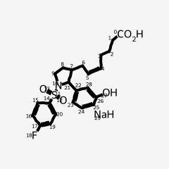 O=C(O)CCC/C=C\CC1CCN(S(=O)(=O)c2ccc(F)cc2)C1c1cccc(O)c1.[NaH]